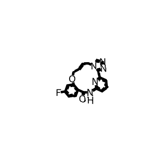 O=C1Nc2cccc(n2)-c2nncn2C/C=C/COc2cc(F)ccc21